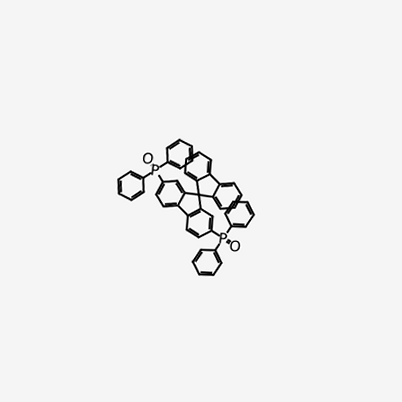 O=P(c1ccccc1)(c1ccccc1)c1ccc2c(c1)C1(c3ccccc3-c3ccccc31)c1cc(P(=O)(c3ccccc3)c3ccccc3)ccc1-2